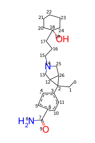 CCC1(c2[c]cc(C(N)=O)cc2)C2CN(CCCC3(O)CCCCC3)CC21